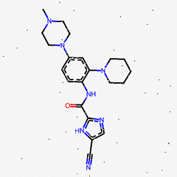 CN1CCN(c2ccc(NC(=O)c3ncc(C#N)[nH]3)c(N3CCCCC3)c2)CC1